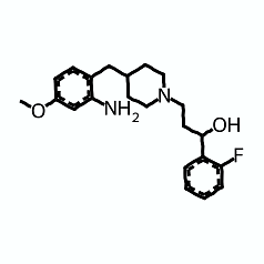 COc1ccc(CC2CCN(CCC(O)c3ccccc3F)CC2)c(N)c1